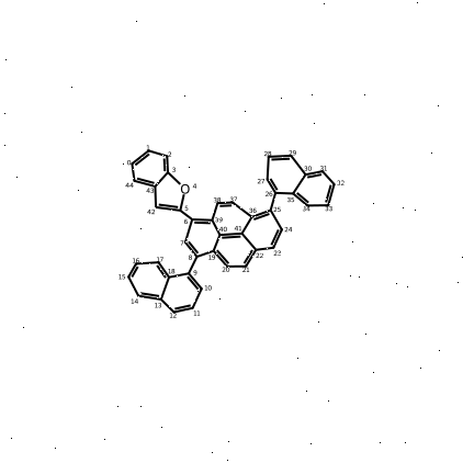 c1ccc2oc(-c3cc(-c4cccc5ccccc45)c4ccc5ccc(-c6cccc7ccccc67)c6ccc3c4c56)cc2c1